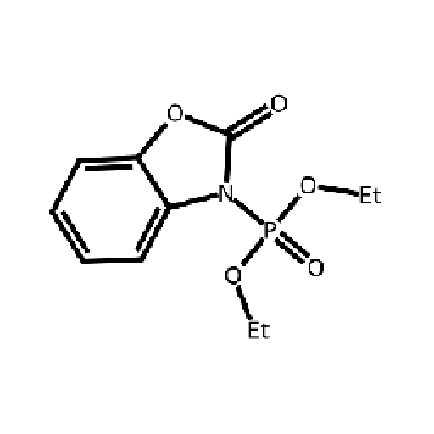 CCOP(=O)(OCC)n1c(=O)oc2ccccc21